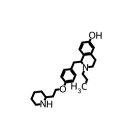 CCCN1CCc2cc(O)ccc2C1Cc1ccc(OCCC2CCCCN2)cc1